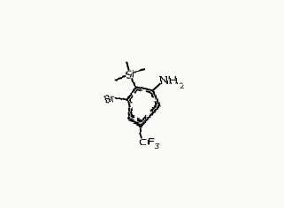 C[Si](C)(C)c1c(N)cc(C(F)(F)F)cc1Br